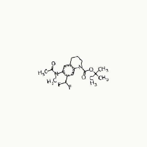 CC(=O)N(C)c1cc2c(cc1C(F)F)N(C(=O)OC(C)(C)C)CCC2